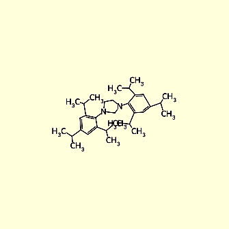 CC(C)c1cc(C(C)C)c(N2CCN(c3c(C(C)C)cc(C(C)C)cc3C(C)C)C2)c(C(C)C)c1